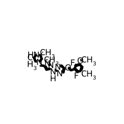 COc1cc(C)c(F)c(COc2cnc(Nc3cc(CN4C[C@@H](C)N[C@@H](C)C4)n(C)n3)nc2)c1F